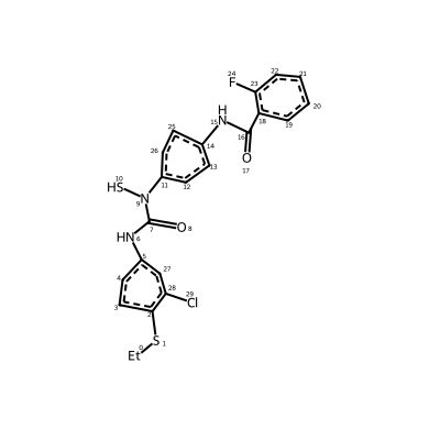 CCSc1ccc(NC(=O)N(S)c2ccc(NC(=O)c3ccccc3F)cc2)cc1Cl